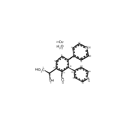 O.O=C(O)C(O)c1ccc(-c2ccncc2)c(-c2ccncc2)c1Cl.[Cu]